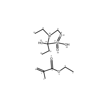 C=C(C)C(=O)OCC.CCN(CC)C(O)(CC)S(=O)(=O)O